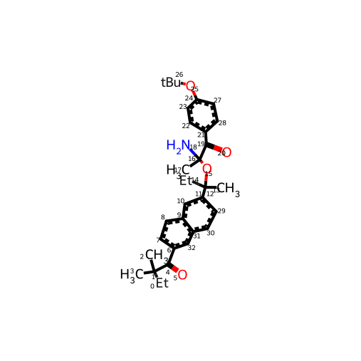 CCC(C)(C)C(=O)c1ccc2cc(C(C)(CC)OC(C)(N)C(=O)c3ccc(OC(C)(C)C)cc3)ccc2c1